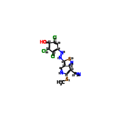 CSc1ncc2c(/N=N/c3cc(Cl)c(O)c(Cl)c3Cl)snc2c1C#N